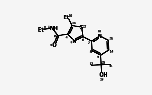 CCNC(=O)c1nc(-c2cc(C(C)(C)O)ccn2)sc1CC